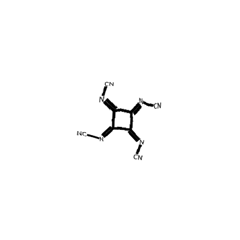 N#CN=C1C(=NC#N)C(=NC#N)C1=NC#N